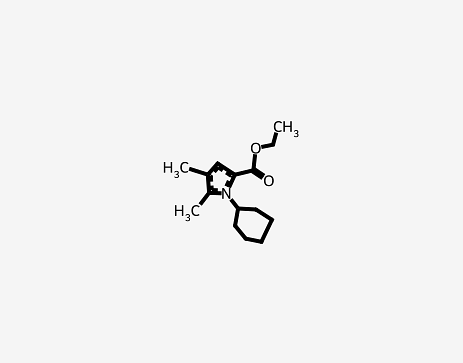 CCOC(=O)c1cc(C)c(C)n1C1CCCCC1